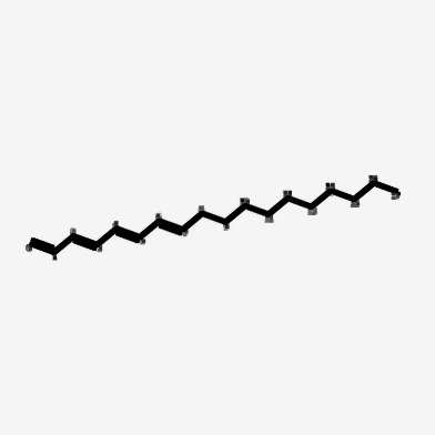 C=C/C=C/C=C/C=C/CCCCCC[CH]CCC